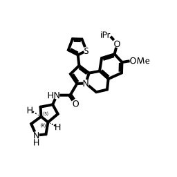 COc1cc2c(cc1OC(C)C)-c1c(-c3cccs3)cc(C(=O)NC3C[C@H]4CNC[C@H]4C3)n1CC2